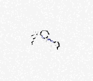 CC[C@H](O)[C@@H](C)[C@H]1O[C@@H]1C[C@@](C)(O)/C=C/C=C(\C)[C@H]1OC(=O)C[C@H](O)CC[C@H](C)[C@@H](OC(=O)N2CCN[C@H](CCC(=O)O)C2)/C=C/[C@@H]1C